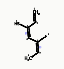 C=C/C(S)=C\C(F)=C/C